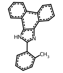 Cc1ccccc1-c1nc2c3ccccc3c3ccccc3c2[nH]1